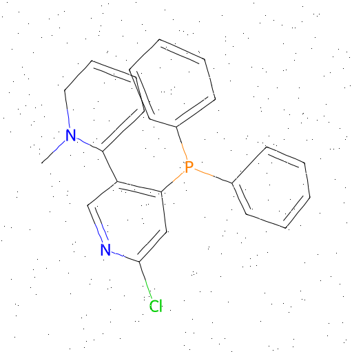 CN1CC=CC=C1c1cnc(Cl)cc1P(c1ccccc1)c1ccccc1